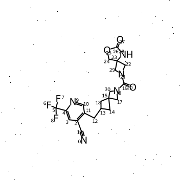 N#Cc1cc(C(F)(F)F)ncc1CC1CC2(C1)CN(C(=O)N1CC3(COC(=O)N3)C1)C2